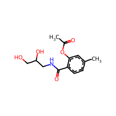 CC(=O)Oc1cc(C)ccc1C(=O)NCC(O)CO